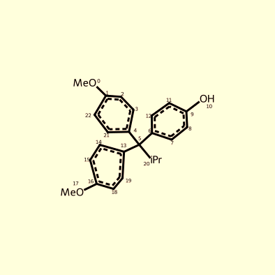 COc1ccc(C(c2ccc(O)cc2)(c2ccc(OC)cc2)C(C)C)cc1